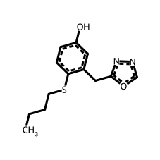 CCCCSc1ccc(O)cc1Cc1nnco1